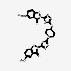 COc1ccc2sn(-c3nnc(OC4CCN(c5nnc(-n6sc7ccc(OC)cc7c6=O)s5)CC4)s3)c(=O)c2c1